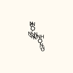 Cn1ncc2cc(-c3nccn4nc(Nc5ccc(N6CCOCC6)cc5)nc34)ccc21